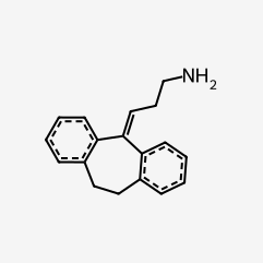 NCCC=C1c2ccccc2CCc2ccccc21